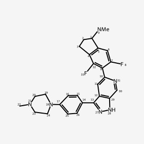 CNC1CCc2c1cc(F)c(-c1cc3c(-c4ccc(N5CCN(C)CC5)cc4)n[nH]c3cn1)c2F